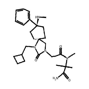 CN[C@]1(c2ccccc2)CC[C@]2(CC1)CN(CC(=O)N(C)C(C)(C)C(N)=O)C(=O)N2CC1CCC1